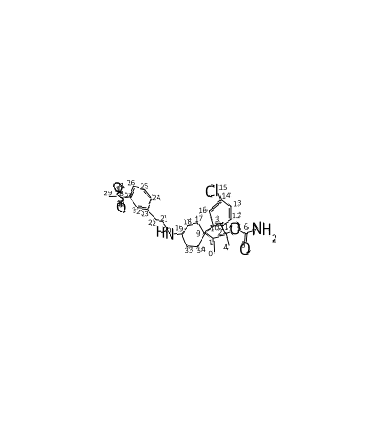 CC(C(C)(C)OC(N)=O)C1(c2cccc(Cl)c2)CCC(NCCc2cccc(S(C)(=O)=O)c2)CC1